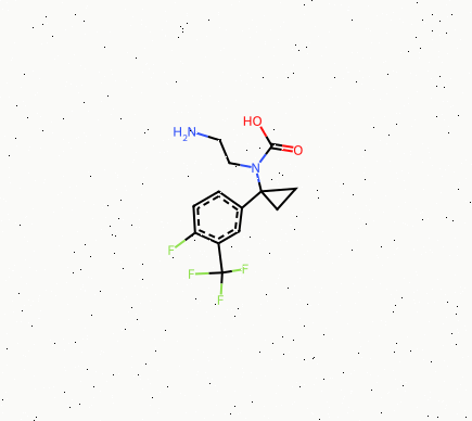 NCCN(C(=O)O)C1(c2ccc(F)c(C(F)(F)F)c2)CC1